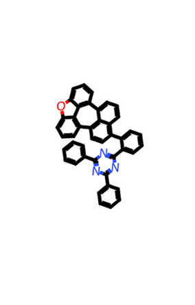 c1ccc(-c2nc(-c3ccccc3)nc(-c3ccccc3-c3ccc4c5c(cccc35)-c3cccc5oc6cccc-4c6c35)n2)cc1